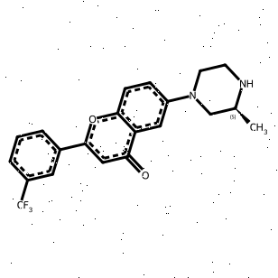 C[C@H]1CN(c2ccc3oc(-c4cccc(C(F)(F)F)c4)cc(=O)c3c2)CCN1